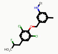 CCNc1cc(C)cc(COc2c(Cl)cc(CC(F)C(=O)O)cc2Cl)c1